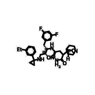 CCc1cccc(C2(NC[C@@H](O)[C@H](Cc3cc(F)cc(F)c3)NC(=O)CC(C(N)=O)[C@H]3CN4CCC3CC4)CC2)c1